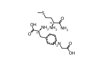 CSCC[C@H](N)C(N)=O.NCC(=O)O.N[C@@H](Cc1ccccc1)C(=O)O